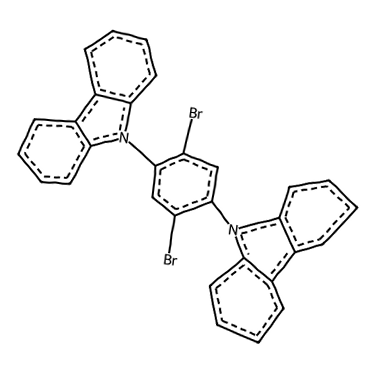 Brc1cc(-n2c3ccccc3c3ccccc32)c(Br)cc1-n1c2ccccc2c2ccccc21